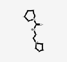 O=C(NCCN1CCCC1)N1CC[CH]CC1